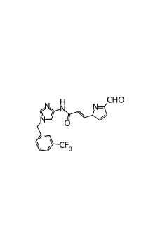 O=CC1=NC(/C=C/C(=O)Nc2cn(Cc3cccc(C(F)(F)F)c3)cn2)C=C1